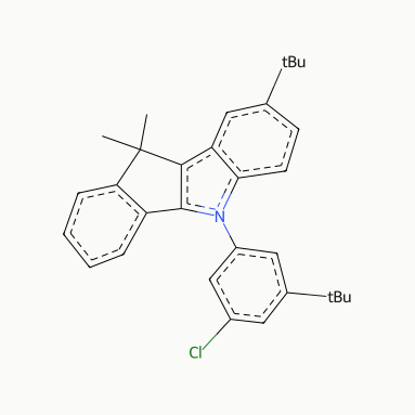 CC(C)(C)c1cc(Cl)cc(-n2c3c(c4cc(C(C)(C)C)ccc42)C(C)(C)c2ccccc2-3)c1